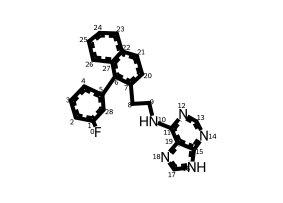 Fc1cccc(-c2c(CCNc3ncnc4[nH]cnc34)ccc3ccccc23)c1